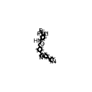 O=C(Cc1ccc(-c2cnc3cc(-c4ccncc4)ccn23)cc1)Nc1ccc(Cl)c(C(F)(F)F)c1